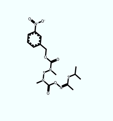 CC(=NOC(=O)N(C)SN(C)C(=O)OCc1cccc([N+](=O)[O-])c1)SC(C)C